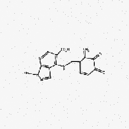 C=C1C(=O)C(=O)C=CC1CNc1c(C(=O)O)cnc2c1cnn2CC